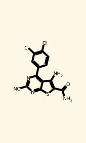 N#Cc1nc(-c2ccc(Cl)c(Cl)c2)c2c(N)c(C(N)=O)sc2n1